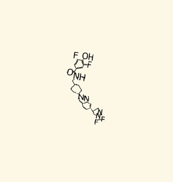 O=C(NCC1CCC(n2cc3ccc(-c4cnn(C(F)F)c4)cc3n2)CC1)c1cc(F)c(O)c(F)c1